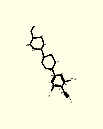 CCC1CCC(C2CCC(c3cc(F)c(C#N)c(F)c3)CC2)CC1